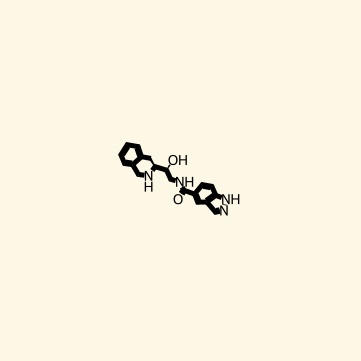 O=C(NC[C@@H](O)[C@@H]1Cc2ccccc2CN1)c1ccc2[nH]ncc2c1